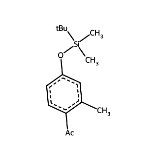 CC(=O)c1ccc(O[Si](C)(C)C(C)(C)C)cc1C